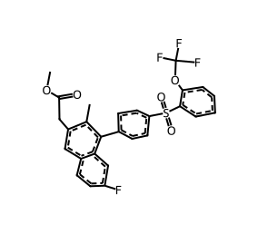 COC(=O)Cc1cc2ccc(F)cc2c(-c2ccc(S(=O)(=O)c3ccccc3OC(F)(F)F)cc2)c1C